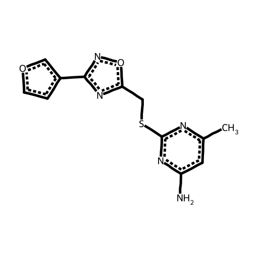 Cc1cc(N)nc(SCc2nc(-c3ccoc3)no2)n1